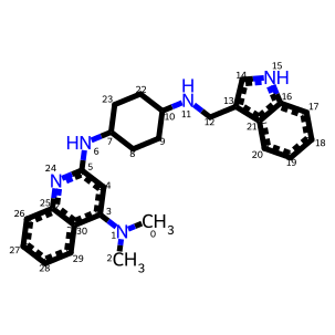 CN(C)c1cc(NC2CCC(NCc3c[nH]c4ccccc34)CC2)nc2ccccc12